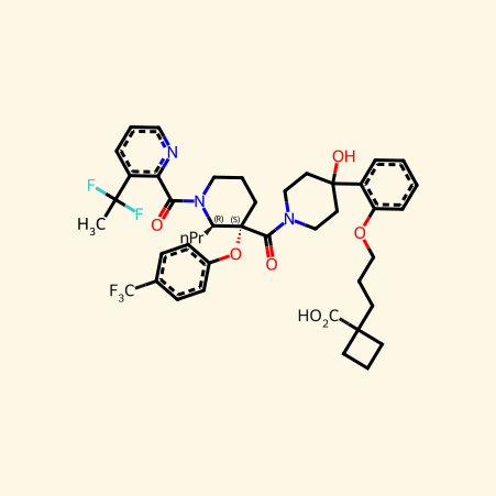 CCC[C@H]1N(C(=O)c2ncccc2C(C)(F)F)CCC[C@@]1(Oc1ccc(C(F)(F)F)cc1)C(=O)N1CCC(O)(c2ccccc2OCCCC2(C(=O)O)CCC2)CC1